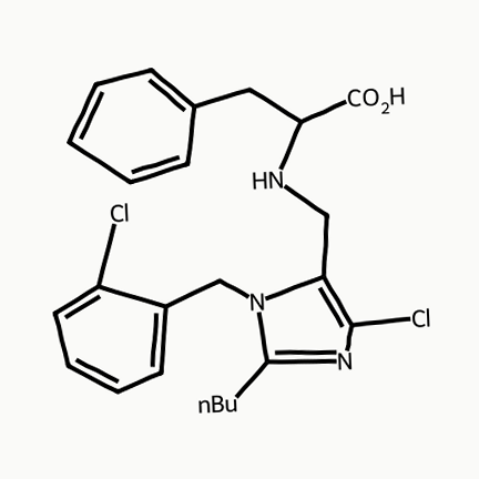 CCCCc1nc(Cl)c(CNC(Cc2ccccc2)C(=O)O)n1Cc1ccccc1Cl